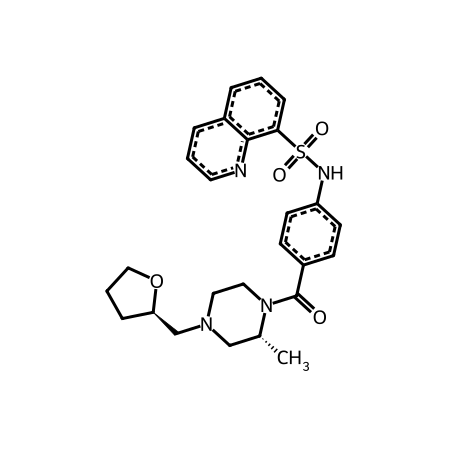 C[C@@H]1CN(C[C@H]2CCCO2)CCN1C(=O)c1ccc(NS(=O)(=O)c2cccc3cccnc23)cc1